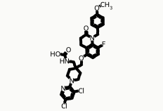 COc1ccc(CN2C(=O)CCc3c(OCC4(CNC(=O)O)CCN(c5ncc(Cl)cc5Cl)CC4)ccc(F)c32)cc1